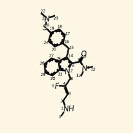 CNC/C=C(\F)Cn1c(C(=O)N(C)C)c(Cc2ccc(SN(C)C)cc2)c2ccccc21